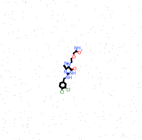 NC(=O)COCCn1ncc2nc(NCc3ccc(Cl)c(Cl)c3)[nH]c(=O)c21